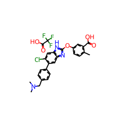 Cc1ccc(Oc2nc3cc(-c4ccc(CN(C)C)cc4)c(Cl)cc3[nH]2)cc1C(=O)O.O=C(O)C(F)(F)F